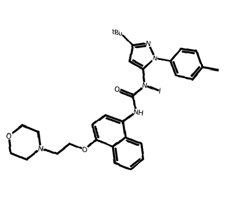 Cc1ccc(-n2nc(C(C)(C)C)cc2N(I)C(=O)Nc2ccc(OCCN3CCOCC3)c3ccccc23)cc1